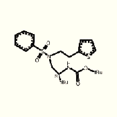 [CH2]CCC[C@@H](CN(CCc1cccs1)S(=O)(=O)c1ccccc1)NC(=O)OC(C)(C)C